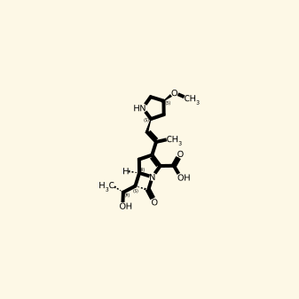 CO[C@@H]1CN[C@H](C=C(C)C2=C(C(=O)O)N3C(=O)[C@H]([C@@H](C)O)[C@H]3C2)C1